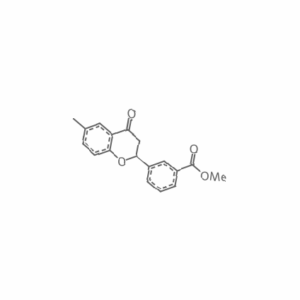 COC(=O)c1cccc(C2CC(=O)c3cc(C)ccc3O2)c1